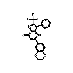 O=c1cc(-c2ccc3c(c2)OCCO3)[nH]c2c(-c3ccccc3)c(C(F)(F)F)nn12